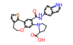 O=C(Nc1ccc2[nH]ccc2c1)c1cc2c(cc1N1CCCC1C(=O)O)OCCc1ccsc1-2